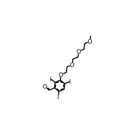 COCCOCCOCCOc1c(I)cc(I)c(C=O)c1I